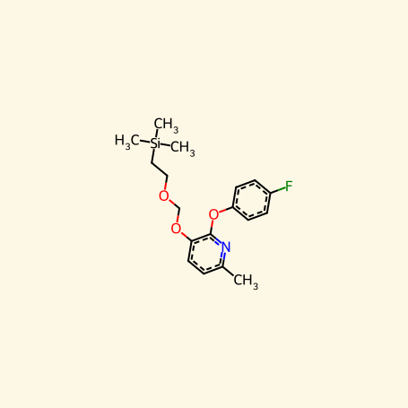 Cc1ccc(OCOCC[Si](C)(C)C)c(Oc2ccc(F)cc2)n1